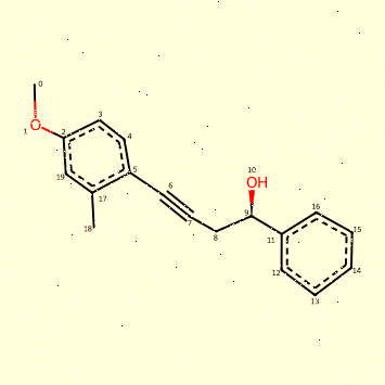 COc1ccc(C#CC[C@@H](O)c2ccccc2)c(C)c1